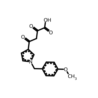 COc1ccc(Cn2ccc(C(=O)CC(=O)C(=O)O)c2)cc1